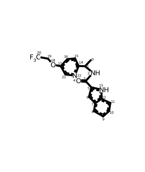 CC(NC(=O)c1cc2ccccc2[nH]1)c1ccc(OCC(F)(F)F)cn1